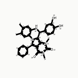 Cc1cc2c(cc1C)-n1c(-c3ccccc3)c3c(=O)n(C)c(=O)n(C)c3c1C(c1ccc(O)c(O)c1)N2